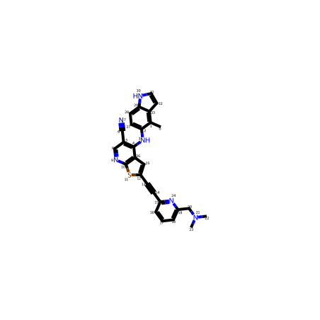 Cc1c(Nc2c(C#N)cnc3sc(C#Cc4cccc(CN(C)C)n4)cc23)ccc2[nH]ccc12